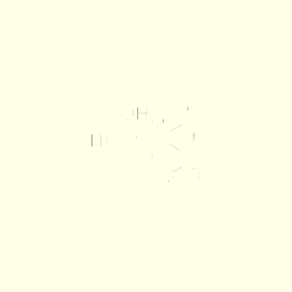 COC(=O)c1ccc(OC)c2c1OCC(CO)(CO)CO2